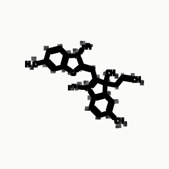 C=CCC1(C)C(/C=C2\Oc3cc(C)ccc3N2CCC)=[N+](CCC)c2ccc(C)cc21